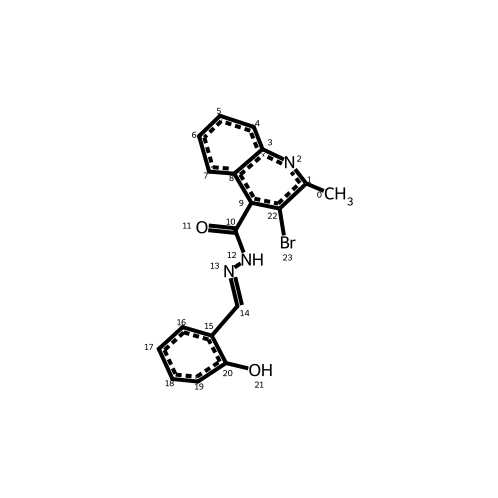 Cc1nc2ccccc2c(C(=O)NN=Cc2ccccc2O)c1Br